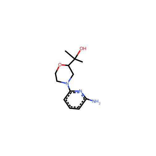 CC(C)(O)C1CN(c2cccc(N)n2)CCO1